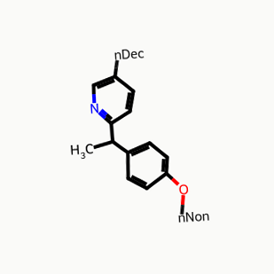 CCCCCCCCCCc1ccc(C(C)c2ccc(OCCCCCCCCC)cc2)nc1